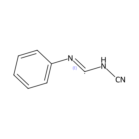 N#CN/[C]=N/c1ccccc1